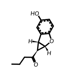 CCCC(=O)[C@@H]1[C@H]2Oc3ccc(O)cc3[C@H]21